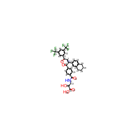 O=C(/C=C(\C(=O)c1ccc(C(=O)NC[C@@H](O)C(=O)O)cc1)c1ccc2c(c1)CCCC2)c1cc(C(F)(F)F)cc(C(F)(F)F)c1